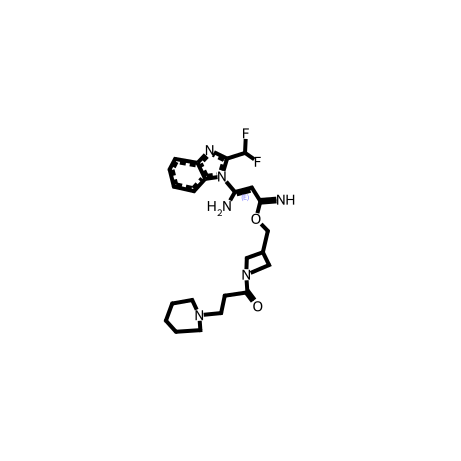 N=C(/C=C(\N)n1c(C(F)F)nc2ccccc21)OCC1CN(C(=O)CCN2CCCCC2)C1